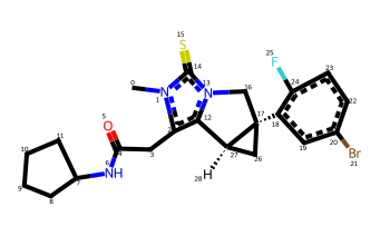 Cn1c(CC(=O)NC2CCCC2)c2n(c1=S)C[C@@]1(c3cc(Br)ccc3F)C[C@@H]21